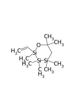 C=C[Si]1(C)OC(C)(C)C[Si](C)(C)[Si]1(C)C